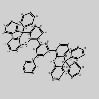 c1ccc(-c2cc(-c3cccc4c3Oc3ccccc3C4(c3ccccc3)c3ccccc3)nc(-c3cccc4c3Oc3ccccc3C4(c3ccccc3)c3ccccc3)c2)cc1